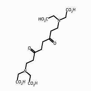 O=C(O)CN(CCC(=O)CCC(=O)CCN(CC(=O)O)CC(=O)O)CC(=O)O